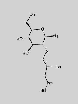 CCCCNCC(O)CO[C@@H]1[C@@H](O)[C@H](O)[C@@H](CO)O[C@H]1O